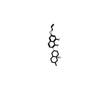 C=CCOc1cc(F)c2c(F)c([C@@H]3CC[C@@H]4CC(C)CCC4C3)ccc2c1